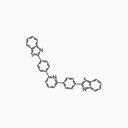 c1cc(-c2ccc(-c3nc4ccccc4s3)cc2)nc(-c2ccc(-c3nc4ccccc4s3)cc2)c1